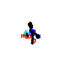 CCC(=O)CCCCCC(C(=O)NCc1cccnc1)c1ncc(-c2ccc3ccccc3c2)[nH]1.O=C(O)C(F)(F)F